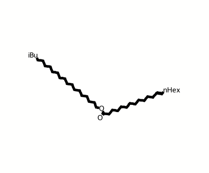 CCCCCCC=CCCCCCCCCCCCC(=O)OCCCCCCCCCCCCCCCCCC(C)CC